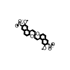 COc1cc2c3c(ccc2cc1[N+](=O)[O-])OC1(C=C3)C=Cc2c(ccc3cc([N+](=O)[O-])c(OC)cc23)O1